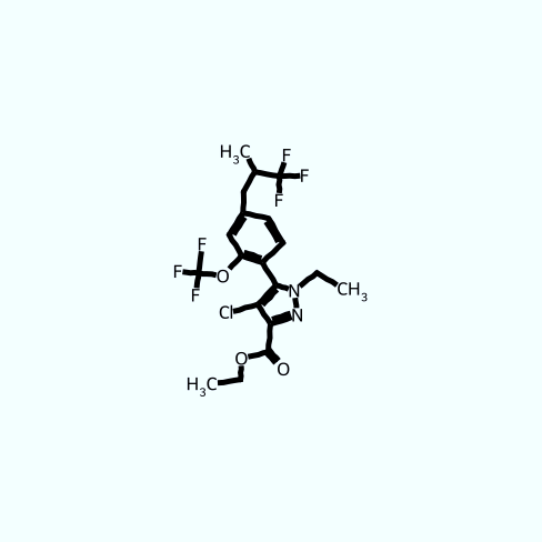 CCOC(=O)c1nn(CC)c(-c2ccc(CC(C)C(F)(F)F)cc2OC(F)(F)F)c1Cl